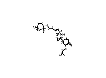 O=C1CCC(CCC/C=C/S(=O)(=O)NC2(c3ccc(F)c(OCC4CC4)c3)CC2)C(=O)N1